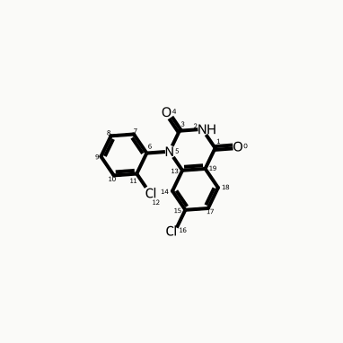 O=c1[nH]c(=O)n(-c2ccccc2Cl)c2cc(Cl)ccc12